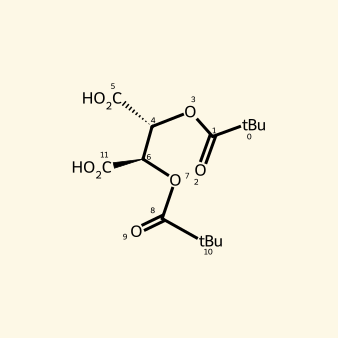 CC(C)(C)C(=O)O[C@@H](C(=O)O)[C@@H](OC(=O)C(C)(C)C)C(=O)O